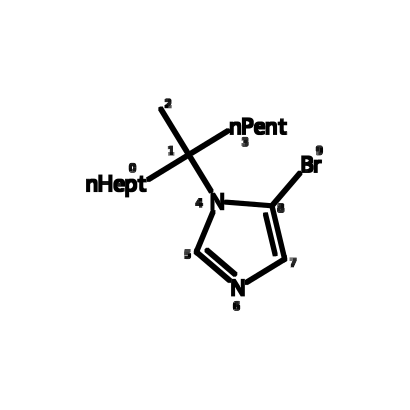 CCCCCCCC(C)(CCCCC)n1cncc1Br